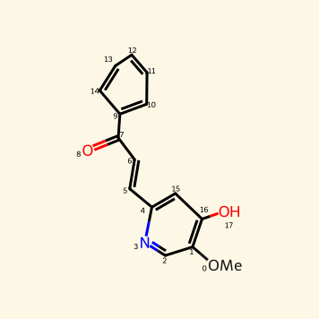 COc1cnc(C=CC(=O)c2ccccc2)cc1O